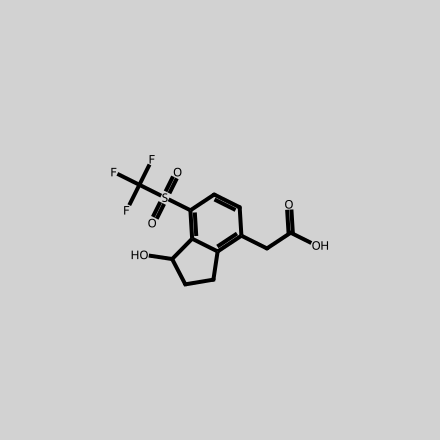 O=C(O)Cc1ccc(S(=O)(=O)C(F)(F)F)c2c1CCC2O